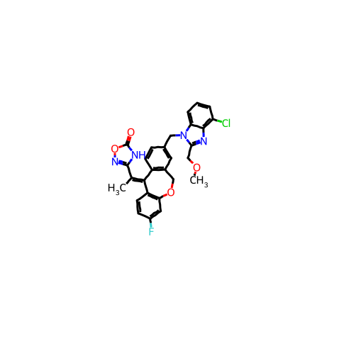 COCc1nc2c(Cl)cccc2n1Cc1ccc2c(c1)COc1cc(F)ccc1/C2=C(\C)c1noc(=O)[nH]1